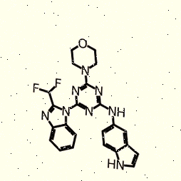 FC(F)c1nc2ccccc2n1-c1nc(Nc2ccc3[nH]ccc3c2)nc(N2CCOCC2)n1